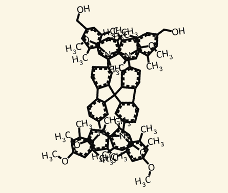 COc1cc(C)c(N(c2ccc3c(c2)C2(c4cc(N(c5c(C)cc(CO)cc5C)c5c(C)cc(OC)cc5C)ccc4-c4ccc(N(c5c(C)cc(OC)cc5C)c5c(C)cc(OC)cc5C)cc42)c2cc(N(c4c(C)cc(OC)cc4C)c4c(C)cc(OC)cc4C)ccc2-3)c2c(C)cc(CO)cc2C)c(C)c1